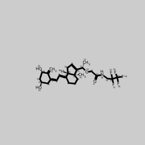 C=C1/C(=C\C=C2/CCC[C@]3(C)C([C@H](C)OCC(=O)NCC(F)(F)C(F)(F)F)=CC[C@@H]23)C[C@@H](O)C[C@@H]1O